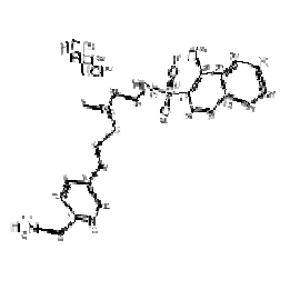 CN(CCCc1ccc(CN)nc1)CCNS(=O)(=O)c1ccc2ccccc2c1Cl.Cl.Cl.Cl